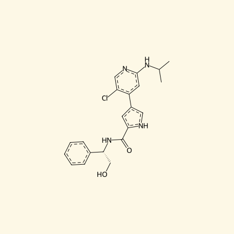 CC(C)Nc1cc(-c2c[nH]c(C(=O)N[C@H](CO)c3ccccc3)c2)c(Cl)cn1